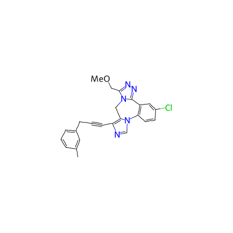 COCc1nnc2n1Cc1c(C#CCc3cccc(C)c3)ncn1-c1ccc(Cl)cc1-2